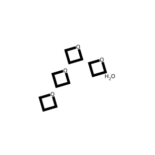 C1COC1.C1COC1.C1COC1.C1COC1.O